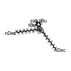 CCCCCCCCCCCCCCCCCCCCCCOP(=O)(Cc1cc(C(C)(C)C)c(O)c(C(C)(C)C)c1)OCCCCCCCCCCCCCCCCCCCCCC